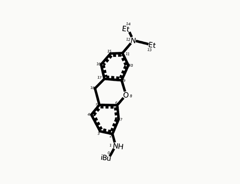 CCC(C)Nc1ccc2c(c1)Oc1cc(N(CC)CC)ccc1C2